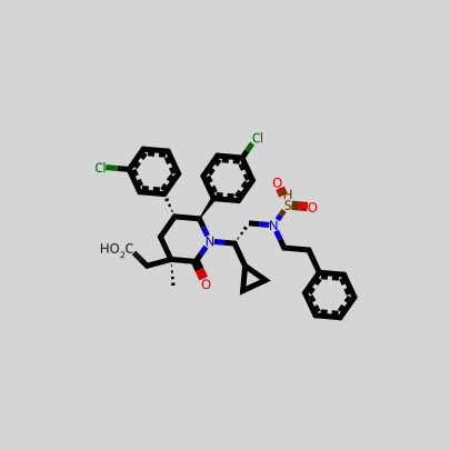 C[C@]1(CC(=O)O)C[C@H](c2cccc(Cl)c2)[C@@H](c2ccc(Cl)cc2)N([C@H](CN(CCc2ccccc2)[SH](=O)=O)C2CC2)C1=O